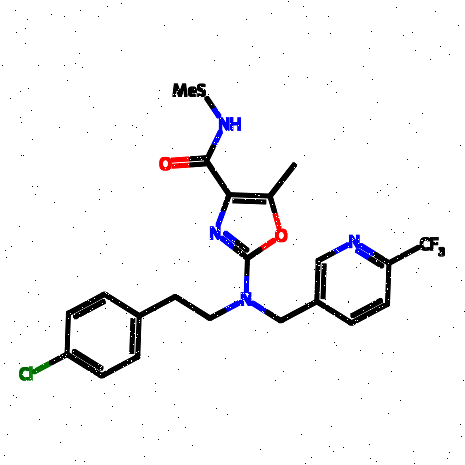 CSNC(=O)c1nc(N(CCc2ccc(Cl)cc2)Cc2ccc(C(F)(F)F)nc2)oc1C